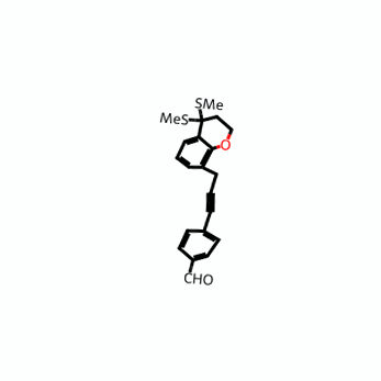 CSC1(SC)CCOc2c(CC#Cc3ccc(C=O)cc3)cccc21